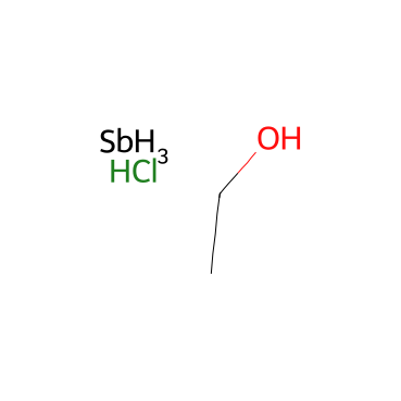 CCO.Cl.[SbH3]